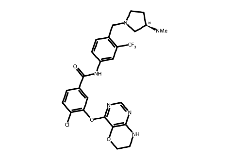 CN[C@@H]1CCN(Cc2ccc(NC(=O)c3ccc(Cl)c(Oc4ncnc5c4OCCN5)c3)cc2C(F)(F)F)C1